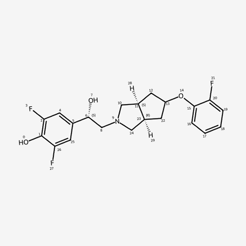 Oc1c(F)cc([C@H](O)CN2C[C@H]3CC(Oc4ccccc4F)C[C@H]3C2)cc1F